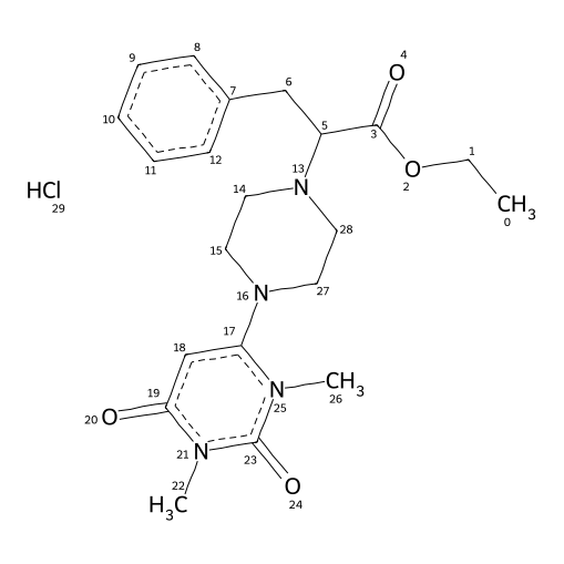 CCOC(=O)C(Cc1ccccc1)N1CCN(c2cc(=O)n(C)c(=O)n2C)CC1.Cl